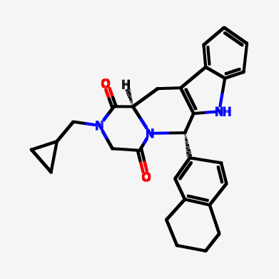 O=C1[C@H]2Cc3c([nH]c4ccccc34)[C@H](c3ccc4c(c3)CCCC4)N2C(=O)CN1CC1CC1